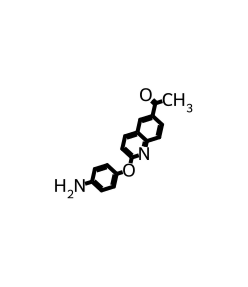 CC(=O)c1ccc2nc(Oc3ccc(N)cc3)ccc2c1